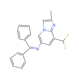 Cc1cn2cc(N=C(c3ccccc3)c3ccccc3)cc(C(F)F)c2n1